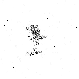 CN(C)CCCO[C@H]1CC[C@@]2(C)[C@H](C1)[C@H](O)C[C@@H]1[C@@H]2CC[C@]2(C)[C@@H](O)CC[C@@H]12